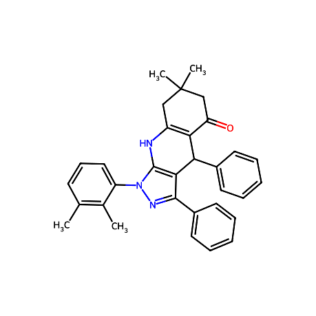 Cc1cccc(-n2nc(-c3ccccc3)c3c2NC2=C(C(=O)CC(C)(C)C2)C3c2ccccc2)c1C